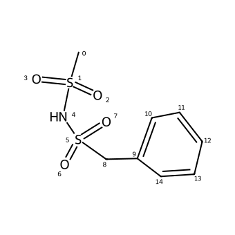 CS(=O)(=O)NS(=O)(=O)Cc1ccccc1